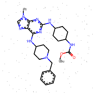 CC(C)n1cnc2c(NC3CCN(Cc4ccccc4)CC3)nc(NC3CCC(NC(=O)OC(C)(C)C)CC3)nc21